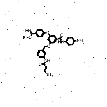 CCOC(=N)c1ccc(Oc2cc(OCc3cccc(NC(=O)CCN)c3)cc(C(=O)NC3CCC(N)CC3)c2)cc1